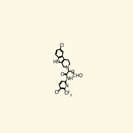 O=COC(C(=O)Nc1ccc(Cl)c(C(F)(F)F)n1)N1CCc2c([nH]c3ccc(Cl)cc23)C1